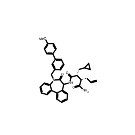 C=CC[C@H](C(N)=O)[C@@H](CC1CC1)C(=O)NC1C(=O)N(Cc2cccc(-c3ccc(OC)cc3)c2)c2ccccc2-c2ccccc21